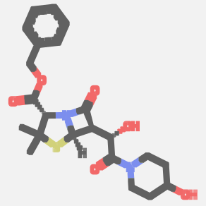 CC1(C)S[C@@H]2[C@H]([C@H](O)C(=O)N3CCC(O)CC3)C(=O)N2[C@H]1C(=O)OCc1ccccc1